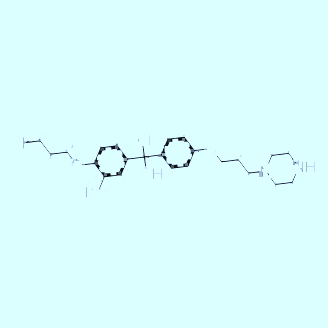 CC(C)(c1ccc(OCCCN2CCNCC2)cc1)c1ccc(OCCCCl)c(Br)c1